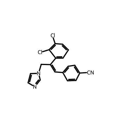 N#Cc1ccc(C=C(Cn2ccnc2)c2cccc(Cl)c2Cl)cc1